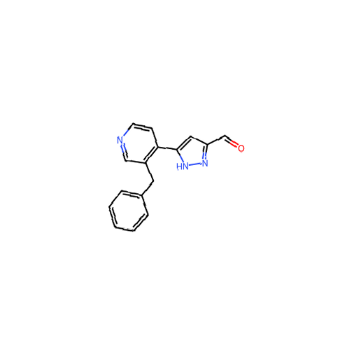 O=Cc1cc(-c2ccncc2Cc2ccccc2)[nH]n1